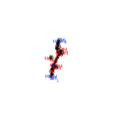 N=C(N)Nc1ccc(C(=O)Oc2ccc(COC(=O)N(CCOCCOCCOCCOCCN(C(=O)OCc3ccc(OC(=O)c4ccc(NC(=N)N)cc4)cc3)C(CC(=O)O)C(=O)O)C(CC(=O)O)C(=O)O)cc2)cc1.O=C(O)C(F)(F)F